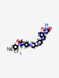 CC1(C)C(=O)N(c2ccc(C#N)c(C(F)(F)F)c2)C(=S)N1c1ccc(N2CCC(CN3CCC(n4ccc5c(N6CCC(=O)NC6=O)cncc54)CC3)CC2)cc1